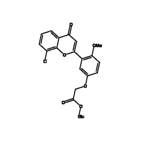 COc1ccc(OCC(=O)OC(C)(C)C)cc1-c1cc(=O)c2cccc(Cl)c2o1